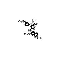 COCc1cccc(Nc2nc(Nc3cc4c(cc3OC)CN(C)CC4)nnc2C(N)=O)c1